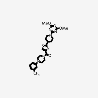 COc1nc(OC)nc(N2CCC(c3nc(C(=O)N4CCN(c5cccc(C(F)(F)F)c5)CC4)cs3)CC2)n1